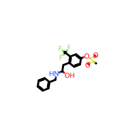 CS(=O)(=O)Oc1ccc(CC(O)NCc2ccccc2)c(C(F)(F)F)c1